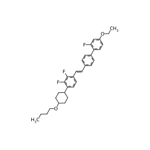 CCCCOC1CCC(c2ccc(/C=C/c3ccc(-c4ccc(OCC)cc4F)cc3)c(F)c2F)CC1